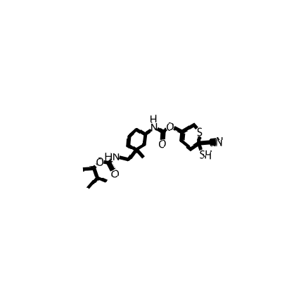 CC(C)C(C)OC(=O)NCC1(C)CCCC(NC(=O)OC2=CCC(S)(C#N)SC2)C1